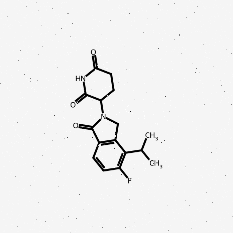 CC(C)c1c(F)ccc2c1CN(C1CCC(=O)NC1=O)C2=O